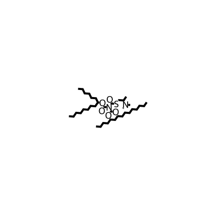 CCCCCCCCC(CCCCCC)OC(=O)N(C(=O)OC(CCCCCC)CCCCCCCC)C(=O)SCC(C)N(C)C